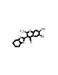 CCc1cc2c(=O)c(-c3nc4ccccc4s3)c(C(F)(F)F)oc2cc1O